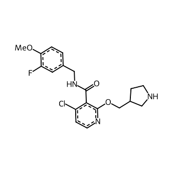 COc1ccc(CNC(=O)c2c(Cl)ccnc2OCC2CCNC2)cc1F